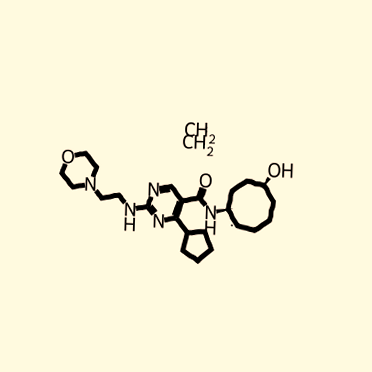 O=C(N[C@@H]1[CH]CCC[C@H](O)CC1)c1cnc(NCCN2CCOCC2)nc1C1CCCC1.[CH2].[CH2]